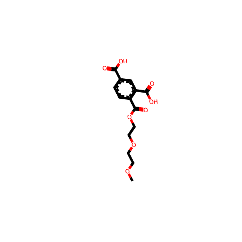 COCCOCCOC(=O)c1ccc(C(=O)O)cc1C(=O)O